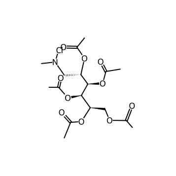 CC(=O)OC[C@@H](OC(C)=O)[C@@H](OC(C)=O)[C@H](OC(C)=O)[C@H](CN(C)Cl)OC(C)=O